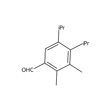 Cc1c(C=O)cc(C(C)C)c(C(C)C)c1C